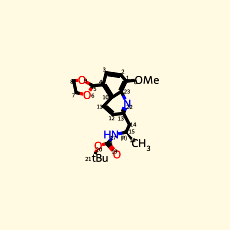 COc1ccc(C2OCCO2)c2ccc(C[C@@H](C)NC(=O)OC(C)(C)C)nc12